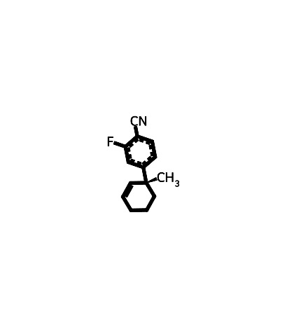 C[C@]1(c2ccc(C#N)c(F)c2)C=CCCC1